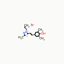 C=CC[n+]1nc(C)sc1/C=C/c1cc(C)c(O)c(C)c1.[Br-]